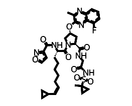 Cc1nc2cccc(F)c2nc1O[C@@H]1C[C@@H](C(=O)NCC(=O)NS(=O)(=O)C2(C)CC2)N(C(=O)[C@H](CCCCC/C=C\C2CC2)NC(=O)c2ccon2)C1